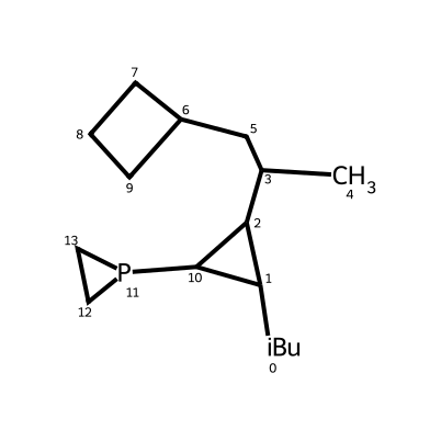 CCC(C)C1C(C(C)CC2CCC2)C1P1CC1